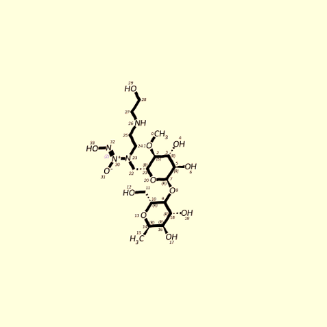 CO[C@H]1[C@H](O)[C@@H](O)[C@@H](OC2[C@@H](CO)O[C@H](C)[C@H](O)[C@H]2O)O[C@@H]1CN(CCNCCO)/[N+]([O-])=N/O